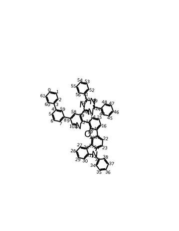 c1ccc(-c2cccc(-c3cnc(-c4cccc5c4oc4c5ccc5c4c4ccccc4n5-c4ccccc4)c(-c4nc(-c5ccccc5)nc(-c5ccccc5)n4)c3)c2)cc1